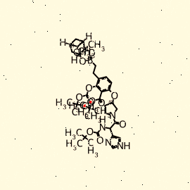 CC(C)(C)OC(=O)NC(C(=O)N1CC[C@@H](Oc2ccc(CCB3O[C@@H]4C[C@@H]5C[C@@H](C5(C)C)[C@]4(C)O3)c(OC(=O)OC(C)(C)C)c2C(=O)OC(C)(C)C)C1)c1c[nH]cn1